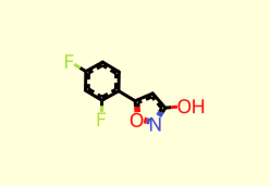 Oc1cc(-c2ccc(F)cc2F)on1